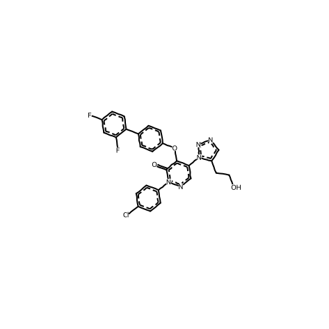 O=c1c(Oc2ccc(-c3ccc(F)cc3F)cc2)c(-n2nncc2CCO)cnn1-c1ccc(Cl)cc1